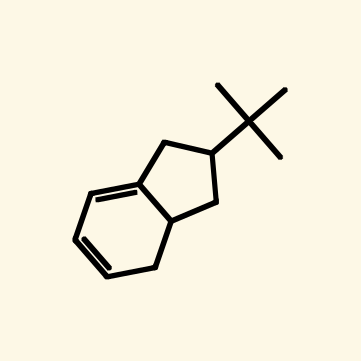 CC(C)(C)C1CC2=CC=CCC2C1